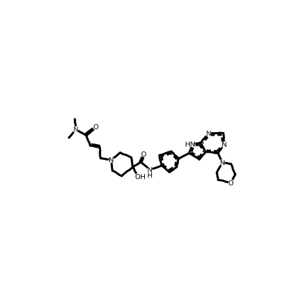 CN(C)C(=O)/C=C/CN1CCC(O)(C(=O)Nc2ccc(-c3cc4c(N5CCOCC5)ncnc4[nH]3)cc2)CC1